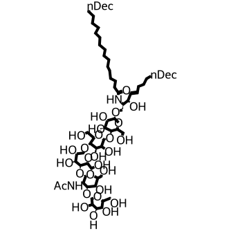 CCCCCCCCCCCCC/C=C/[C@@H](O)[C@H](CO[C@@H]1OC(CO)[C@@H](O[C@@H]2OC(CO)[C@H](O[C@@H]3OC(CO)[C@H](O[C@@H]4OC(CO)[C@H](O)[C@H](O[C@@H]5OC(CO)[C@H](O)[C@H](O)C5O)C4NC(C)=O)[C@H](O)C3O)[C@H](O)C2O)[C@H](O)C1O)NC(=O)CCCCCCCCCCCCCCCCCCCCCCCCC